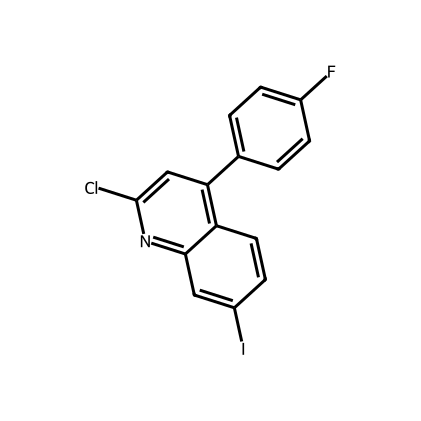 Fc1ccc(-c2cc(Cl)nc3cc(I)ccc23)cc1